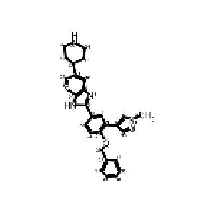 Cn1cc(-c2cc(-c3nc4cc(C5CCNCC5)cnc4[nH]3)ccc2OCc2ccccc2)cn1